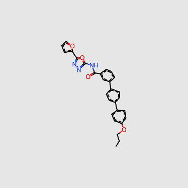 CCCOc1ccc(-c2ccc(-c3cccc(C(=O)Nc4nnc(-c5ccco5)o4)c3)cc2)cc1